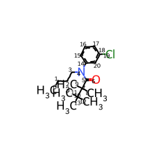 CCCCN(C(=O)C(C)(C)C(C)(C)C)c1cccc(Cl)c1